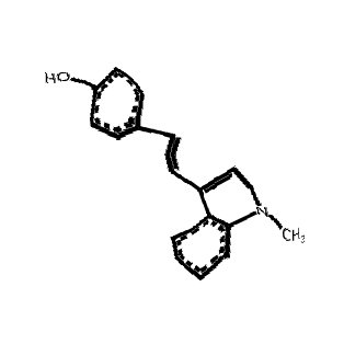 CN1CC=C(C=Cc2ccc(O)cc2)c2ccccc21